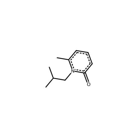 Cc1cccc(=O)n1CC(C)C